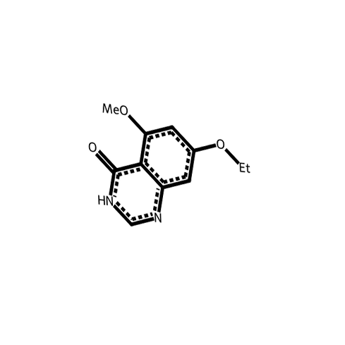 CCOc1cc(OC)c2c(=O)[nH]cnc2c1